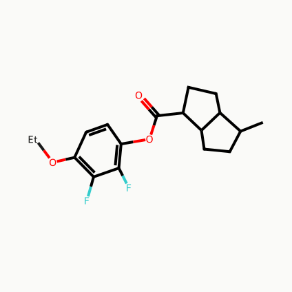 CCOc1ccc(OC(=O)C2CCC3C(C)CCC23)c(F)c1F